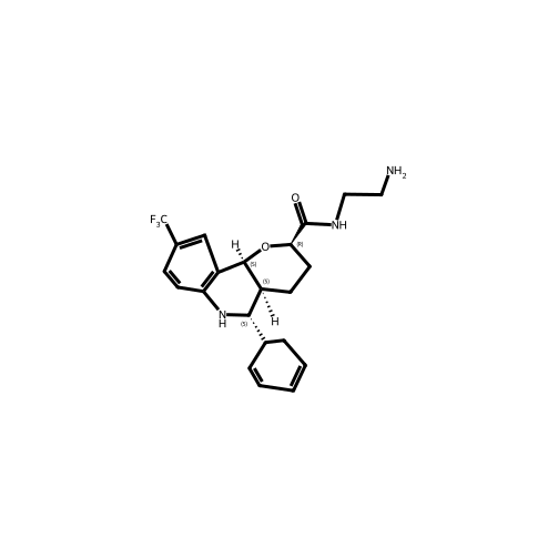 NCCNC(=O)[C@H]1CC[C@@H]2[C@H](O1)c1cc(C(F)(F)F)ccc1N[C@H]2C1C=CC=CC1